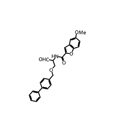 COc1ccc2oc(C(=O)NC(C=O)COCc3ccc(-c4ccccc4)cc3)cc2c1